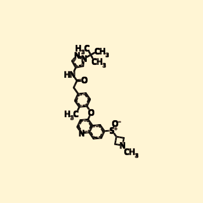 Cc1cc(CC(=O)Nc2cnn(C(C)(C)C)c2)ccc1Oc1ccnc2ccc([S+]([O-])C3CN(C)C3)cc12